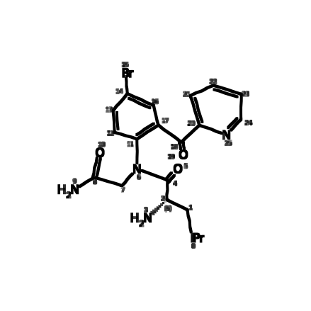 CC(C)C[C@H](N)C(=O)N(CC(N)=O)c1ccc(Br)cc1C(=O)c1ccccn1